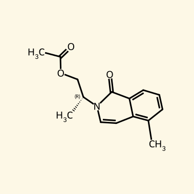 CC(=O)OC[C@@H](C)n1ccc2c(C)cccc2c1=O